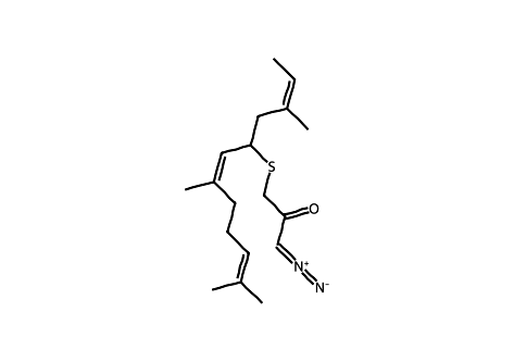 CC=C(C)CC(C=C(C)CCC=C(C)C)SCC(=O)C=[N+]=[N-]